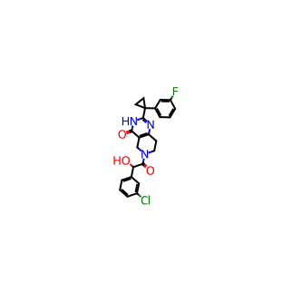 O=C(C(O)c1cccc(Cl)c1)N1CCc2nc(C3(c4cccc(F)c4)CC3)[nH]c(=O)c2C1